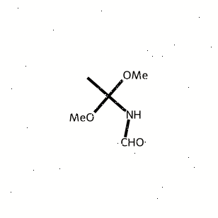 COC(C)(N[C]=O)OC